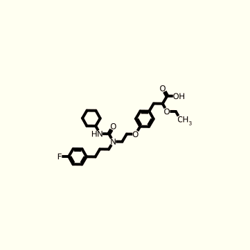 CCOC(Cc1ccc(OCCN(CCCc2ccc(F)cc2)C(=O)NC2CCCCC2)cc1)C(=O)O